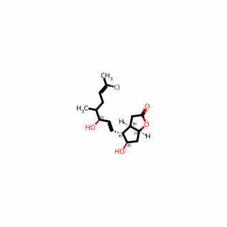 CC(Cl)=CCC(C)[C@H](O)C=C[C@@H]1[C@H]2CC(=O)O[C@H]2C[C@H]1O